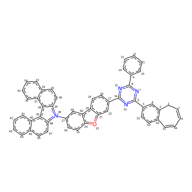 C1=CCc2cc(-c3nc(-c4ccccc4)nc(-c4ccc5c(c4)oc4ccc(-n6c7ccc8ccccc8c7c7c8ccccc8ccc76)cc45)n3)ccc2C=C1